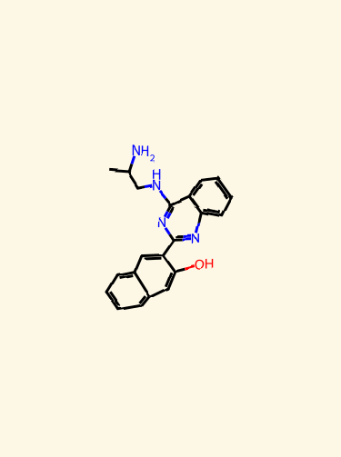 CC(N)CNc1nc(-c2cc3ccccc3cc2O)nc2ccccc12